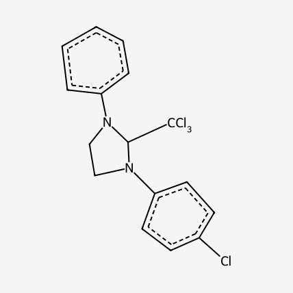 Clc1ccc(N2CCN(c3ccccc3)C2C(Cl)(Cl)Cl)cc1